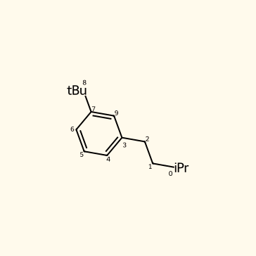 CC(C)CCc1cccc(C(C)(C)C)c1